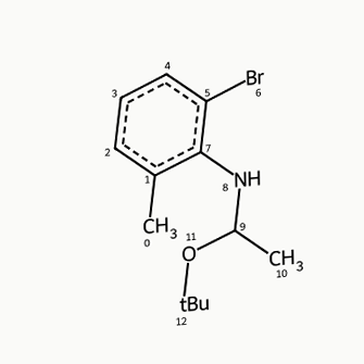 Cc1cccc(Br)c1NC(C)OC(C)(C)C